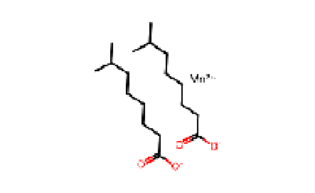 CC(C)CCCCCC(=O)[O-].CC(C)CCCCCC(=O)[O-].[Mn+2]